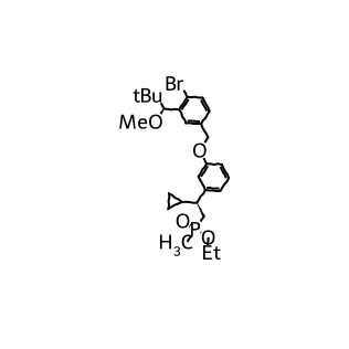 CCOP(C)(=O)C[C@H](c1cccc(OCc2ccc(Br)c([C@@H](OC)C(C)(C)C)c2)c1)C1CC1